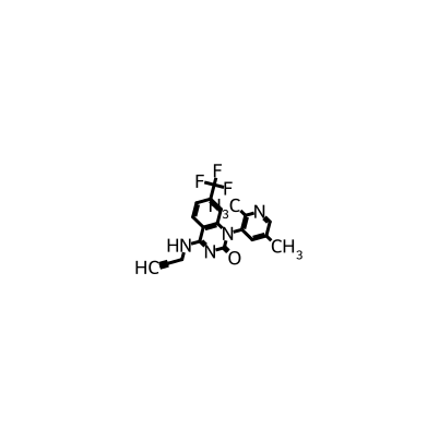 C#CCNc1nc(=O)n(-c2cc(C)cnc2C)c2cc(C(F)(F)F)ccc12